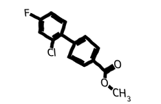 COC(=O)c1ccc(-c2ccc(F)cc2Cl)cc1